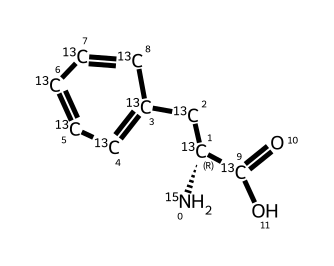 [15NH2][13C@H]([13CH2][13c]1[13cH][13cH][13cH][13cH][13cH]1)[13C](=O)O